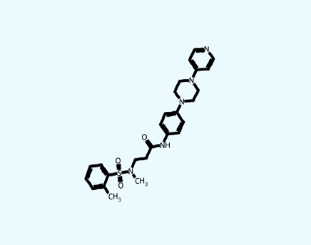 Cc1ccccc1S(=O)(=O)N(C)CCC(=O)Nc1ccc(N2CCN(c3ccncc3)CC2)cc1